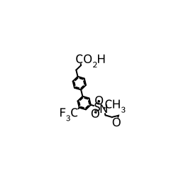 CN(CC1CO1)S(=O)(=O)c1cc(-c2ccc(CCC(=O)O)cc2)cc(C(F)(F)F)c1